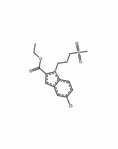 CCOC(=O)c1cc2cc(Cl)ccc2n1CCCS(C)(=O)=O